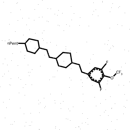 CCCCCC1CCC(CCC2CCC(CCc3cc(F)c(OC(F)(F)F)c(F)c3)CC2)CC1